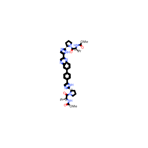 COC(=O)N[C@H](C(=O)N1CCC[C@H]1c1ncc(-c2ccc(-c3ccc4nc(-c5cnc([C@@H]6CCCN6C(=O)[C@@H](NC(=O)OC)C(C)C)[nH]5)cnc4c3)cc2)[nH]1)C(C)C